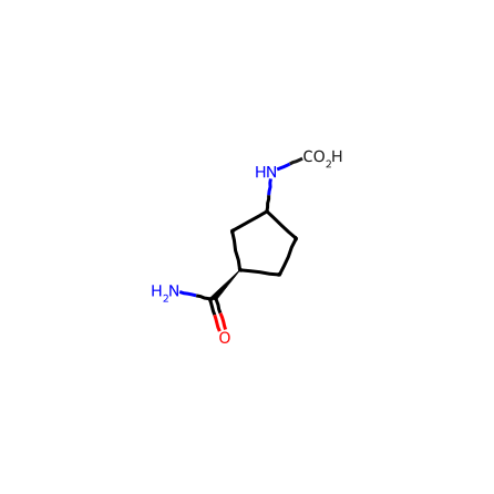 NC(=O)[C@@H]1CCC(NC(=O)O)C1